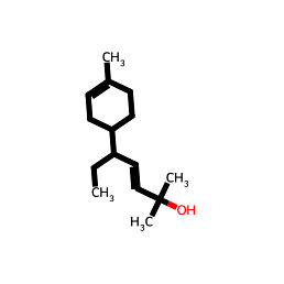 CCC(/C=C/C(C)(C)O)C1CC=C(C)CC1